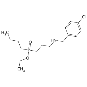 CCCCP(=O)(CCCNCc1ccc(Cl)cc1)OCC